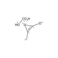 CC1=C(Cl)O1.O=C(O)O